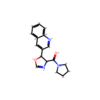 O=C(C1N=COC1c1cnc2ccccc2c1)N1CCCC1